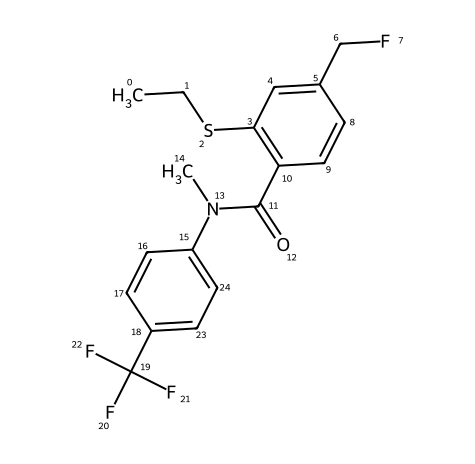 CCSc1cc(CF)ccc1C(=O)N(C)c1ccc(C(F)(F)F)cc1